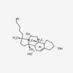 CC(C)CCCC[C@@]1(C)CC[C@@]2(C)[C@@H]3[C@@H](O)C=C4C[C@@H](O)CC[C@]4(C)[C@@]3(C)CC[C@]12C